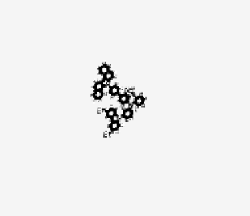 CCc1ccc2c(c1)c1cc(CC)ccc1n2-c1cccc(N(c2ccccc2)c2ccc(-c3ccc(-n4c5ccc6ccccc6c5c5ccc6ccccc6c54)cc3)c3nsnc23)c1